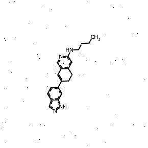 CCCCNc1cc2c(cn1)C=C(c1ccc3cn[nH]c3c1)CC2